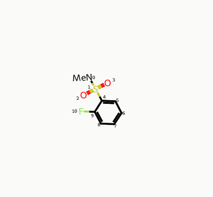 CNS(=O)(=O)c1ccccc1F